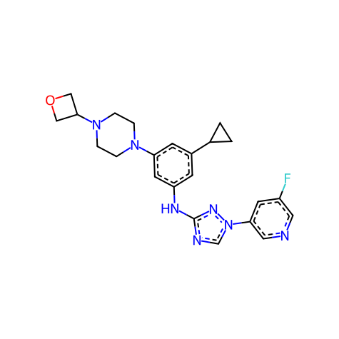 Fc1cncc(-n2cnc(Nc3cc(C4CC4)cc(N4CCN(C5COC5)CC4)c3)n2)c1